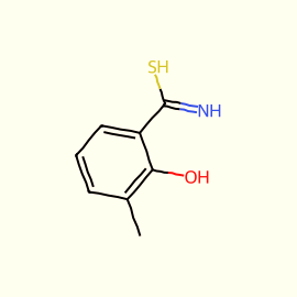 Cc1cccc(C(=N)S)c1O